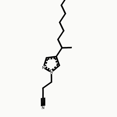 CCCCCCC(C)c1cnn(CCC#N)c1